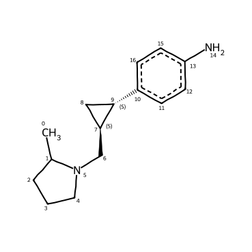 CC1CCCN1C[C@H]1C[C@@H]1c1ccc(N)cc1